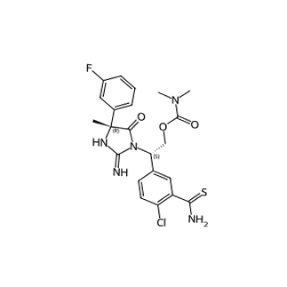 CN(C)C(=O)OC[C@H](c1ccc(Cl)c(C(N)=S)c1)N1C(=N)N[C@](C)(c2cccc(F)c2)C1=O